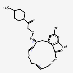 CC1CCN(C(=O)CO/N=C2/C=C/CC/C=C/CCOC(=O)c3c(O)cc(O)cc3C2)CC1